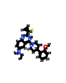 CCN(C)c1ccc2nc(C3(F)CC3)nc(N3CCC(c4ccccc4OC)CC3)c2c1